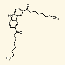 CCCCCCCC(=O)c1ccc2[nH]c3ccc(C(=O)CCCCCCC)cc3c2c1